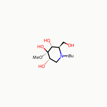 CCCCN1C[C@H](O)[C@](O)(OC)[C@H](O)[C@H]1CO